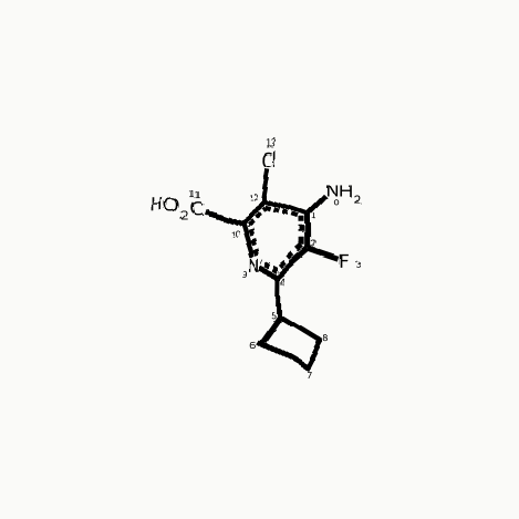 Nc1c(F)c(C2CCC2)nc(C(=O)O)c1Cl